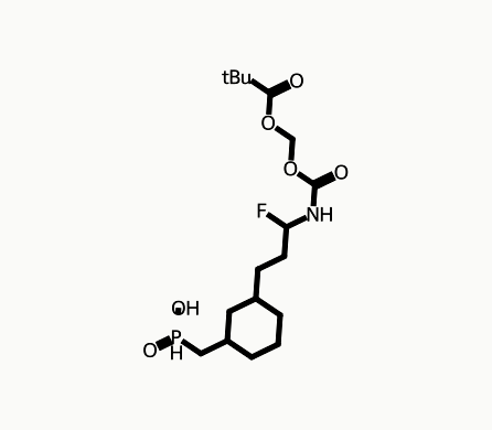 CC(C)(C)C(=O)OCOC(=O)NC(F)CCC1CCCC(C[PH](=O)O)C1